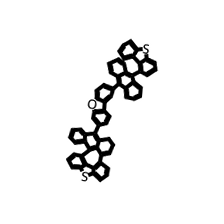 C1=C2c3c(c(-c4ccc5c(c4)oc4ccc(-c6c7ccccc7c(-c7cccc8sc9ccccc9c78)c7ccccc67)cc45)c4ccccc4c3-c3cccc4sc5cccc2c5c34)CC1